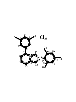 Cc1cc(C)cc(-c2cccc3c[n+](-c4c(C)cc(C)cc4C)cn23)c1.[Cl-]